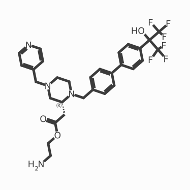 NCCOC(=O)C[C@@H]1CN(Cc2ccncc2)CCN1Cc1ccc(-c2ccc(C(O)(C(F)(F)F)C(F)(F)F)cc2)cc1